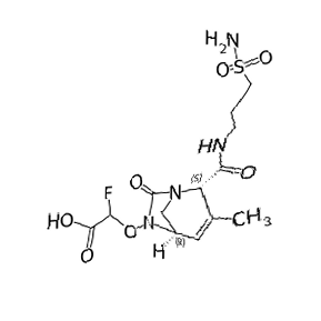 CC1=C[C@@H]2CN(C(=O)N2OC(F)C(=O)O)[C@@H]1C(=O)NCCCS(N)(=O)=O